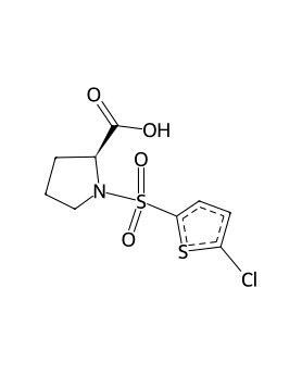 O=C(O)[C@@H]1CCCN1S(=O)(=O)c1ccc(Cl)s1